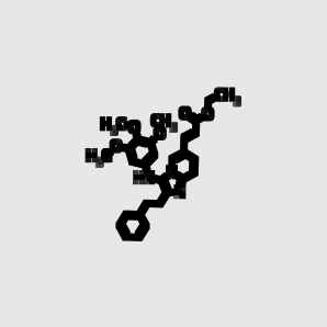 CCOC(=O)/C=C/c1ccc2nc(CCc3ccccc3)c(Nc3cc(OC)c(OC)c(OC)c3)n2c1